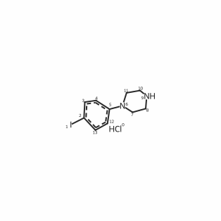 Cl.Ic1ccc(N2CCNCC2)cc1